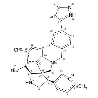 Cc1ccc([C@H]2CN[C@@H](CC(C)(C)C)[C@@]23CN(Cc2ccc(-c4nnn[nH]4)cc2)c2ccc(Cl)cc23)cc1